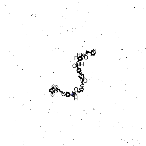 C/C(=N\NC(=O)CC(C)(C)SSCCC(=O)N1CCN(c2ccc(C(=O)NCc3ccc(NC(=O)[C@@H]4CC4c4cccnc4)cc3F)cc2)CC1)c1ccc(OCCCC(=O)ON2C(=O)CCC2=O)cc1